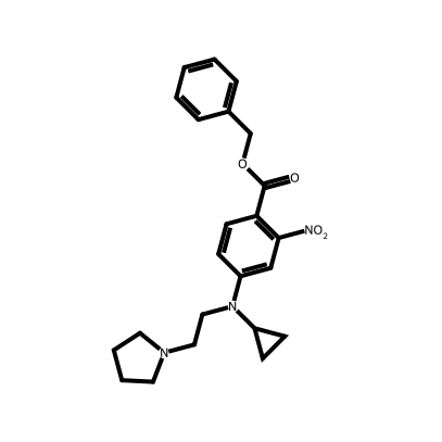 O=C(OCc1ccccc1)c1ccc(N(CCN2CCCC2)C2CC2)cc1[N+](=O)[O-]